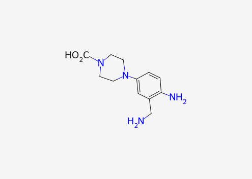 NCc1cc(N2CCN(C(=O)O)CC2)ccc1N